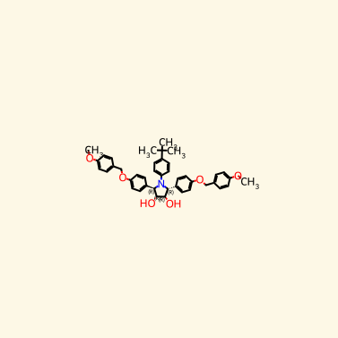 COc1ccc(COc2ccc([C@@H]3[C@@H](O)[C@H](O)[C@@H](c4ccc(OCc5ccc(OC)cc5)cc4)N3c3ccc(C(C)(C)C)cc3)cc2)cc1